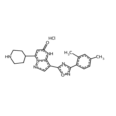 Cc1ccc(-c2noc(-c3cnn4c(C5CCNCC5)cc(=O)[nH]c34)n2)c(C)c1.Cl